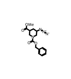 COC(=O)C1CC(N=[N+]=[N-])CN(C(=O)OCc2ccccc2)C1